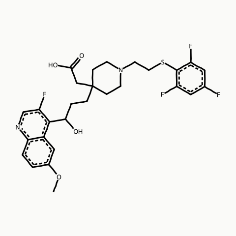 COc1ccc2ncc(F)c(C(O)CCC3(CC(=O)O)CCN(CCSc4c(F)cc(F)cc4F)CC3)c2c1